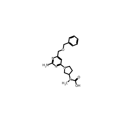 CN(C(=O)O)C1CCN(c2cc(COCc3ccccc3)nc(N)n2)C1